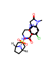 CN1C(=O)Cc2cc(C(=O)N[C@H]3C[C@H]4CC[C@@H](C3)N4S(=O)(=O)N3CCC(N)CC3)c(Cl)cc21